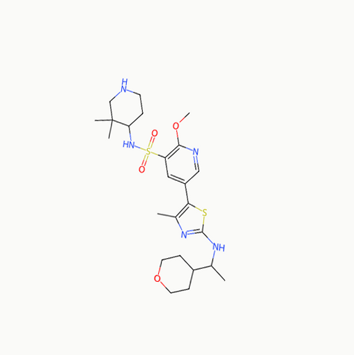 COc1ncc(-c2sc(NC(C)C3CCOCC3)nc2C)cc1S(=O)(=O)NC1CCNCC1(C)C